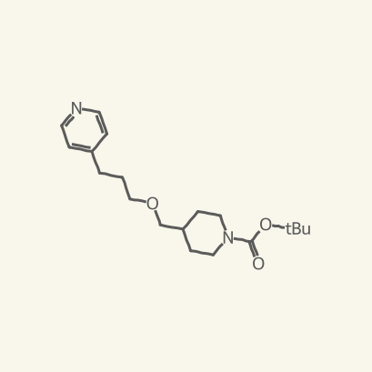 CC(C)(C)OC(=O)N1CCC(COCCCc2ccncc2)CC1